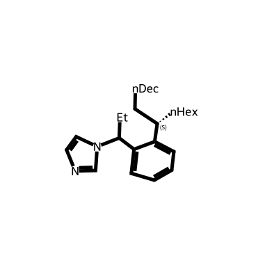 CCCCCCCCCCC[C@H](CCCCCC)c1ccccc1C(CC)n1ccnc1